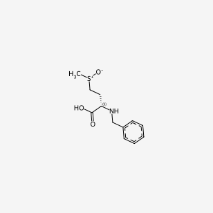 C[S+]([O-])CC[C@H](NCc1ccccc1)C(=O)O